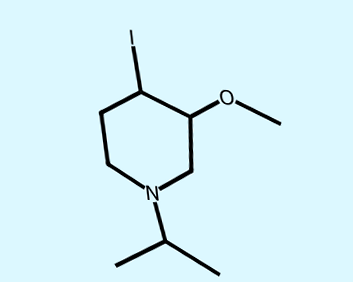 COC1CN(C(C)C)CCC1I